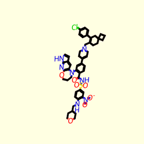 O=C(NS(=O)(=O)c1ccc(NCC2CCOCC2)c([N+](=O)[O-])c1)c1ccc(C2=CCN(CC3=C(c4ccc(Cl)cc4)CC4(CCC4)CC3)CC2)cc1N1CCCOc2nc3[nH]ccc3cc21